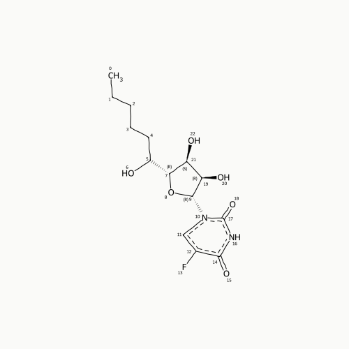 CCCCCC(O)[C@H]1O[C@@H](n2cc(F)c(=O)[nH]c2=O)[C@H](O)[C@@H]1O